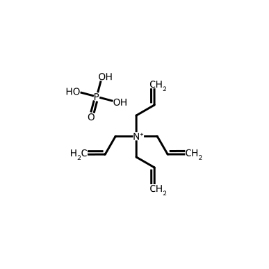 C=CC[N+](CC=C)(CC=C)CC=C.O=P(O)(O)O